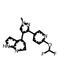 Cn1cc(-c2ccnc3[nH]ccc23)c(-c2ccc(OC(F)F)nc2)n1